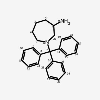 NC1CCCCN(C(c2ccccc2)(c2ccccc2)c2ccccc2)C1